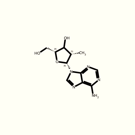 C[C@H]1C(O)[C@@H](CO)O[C@H]1n1cnc2c(N)ncnc21